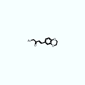 CC(=O)CC(=O)/C=C/c1ccc2c(c1)OCCO2